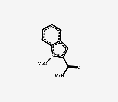 CNC(=O)c1cc2ccccc2n1OC